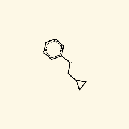 [CH](CC1CC1)c1cccnc1